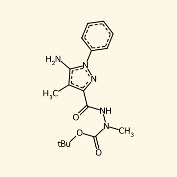 Cc1c(C(=O)NN(C)C(=O)OC(C)(C)C)nn(-c2ccccc2)c1N